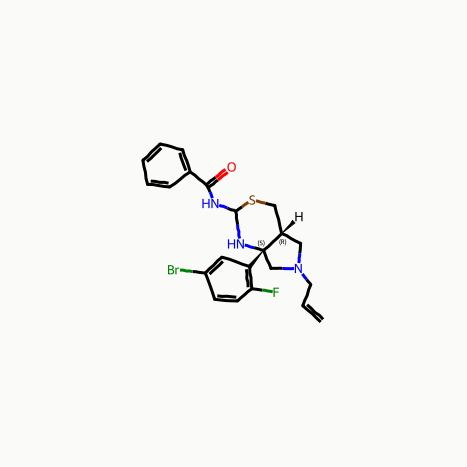 C=CCN1C[C@H]2CSC(NC(=O)c3ccccc3)N[C@@]2(c2cc(Br)ccc2F)C1